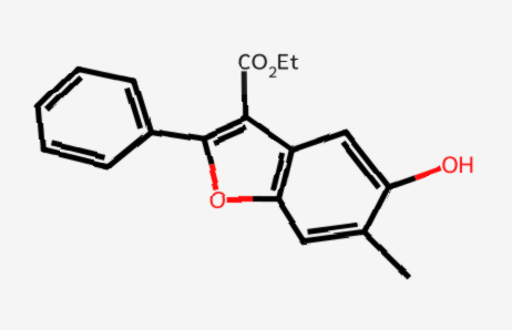 CCOC(=O)c1c(-c2ccccc2)oc2cc(C)c(O)cc12